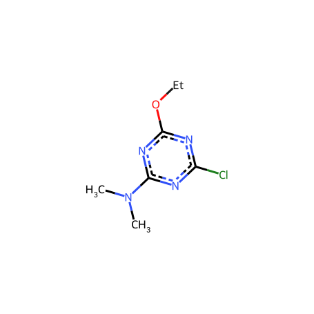 CCOc1nc(Cl)nc(N(C)C)n1